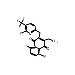 CCC1=C(Cc2ccc(C(F)(F)F)c(F)n2)C(=O)c2c(F)ccc(F)c2C1=O